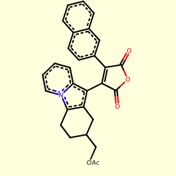 CC(=O)OCC1CCc2c(c(C3=C(c4ccc5ccccc5c4)C(=O)OC3=O)c3ccccn23)C1